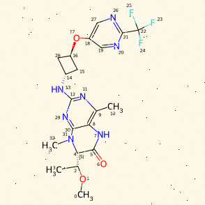 COC(C)[C@H]1C(=O)Nc2c(C)nc(N[C@H]3C[C@H](Oc4cnc(C(F)(F)F)nc4)C3)nc2N1C